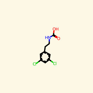 O=C(O)NCCc1cc(Cl)cc(Cl)c1